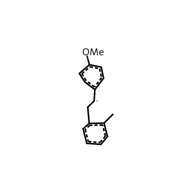 COc1ccc([CH]Cc2ccccc2C)cc1